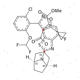 COC(=O)c1cc(F)c2nc(N3[C@@H]4CC[C@H]3C[C@H](OC(=O)c3c(-c5c(Cl)cccc5OC(F)F)noc3C3CC3)C4)sc2c1